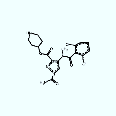 CN(C(=O)c1c(Cl)cccc1Cl)c1cn(C(N)=O)nc1C(=O)OC1CCNCC1